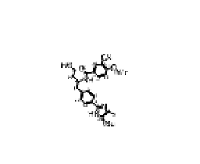 Cc1nc(-c2ccc(CC(CCO)NC(=O)c3ccc(OC(C)C)c(C#N)c3)cc2)[nH]c1C(C)(C)C